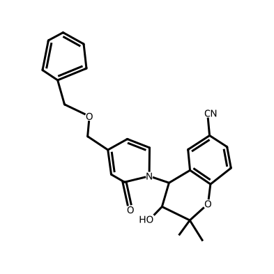 CC1(C)Oc2ccc(C#N)cc2C(n2ccc(COCc3ccccc3)cc2=O)C1O